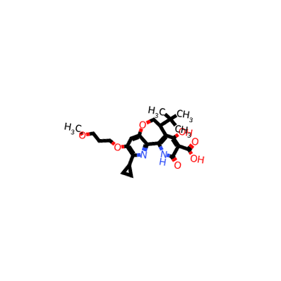 COCCCOc1cc2c(nc1C1CC1)-c1[nH]c(=O)c(C(=O)O)c(O)c1C(C(C)(C)C)CO2